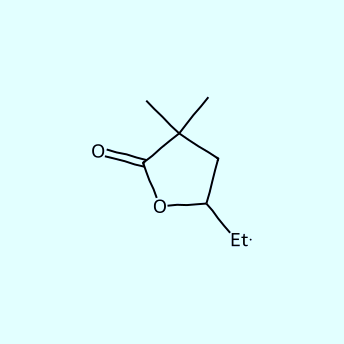 C[CH]C1CC(C)(C)C(=O)O1